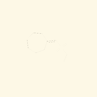 O=S(=O)(C=C1CCCCCC1)CBr